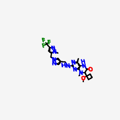 COC1(C2C(=O)Nc3c(C)nc(NCc4cnn(Cc5cc(C(F)(F)F)nn5C)c4)nc3N2C)CCC1